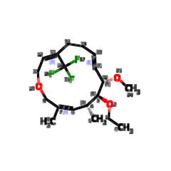 CCO[C@H]1[C@H](C)/C=C(/C)COC/C=C(\C(F)(F)F)CC/C=C/[C@@H]1OC